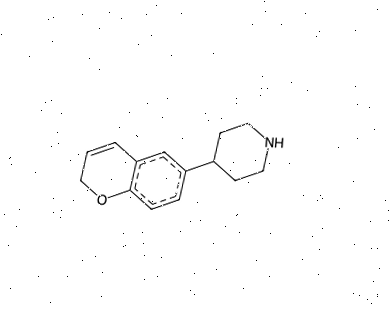 C1=Cc2cc(C3CCNCC3)ccc2OC1